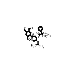 COC(C)(C(=O)O[C@H]1C[C@@H]2c3cc(C=O)c(C=O)cc3CCN2C[C@@H]1CC(C)C)c1ccccc1